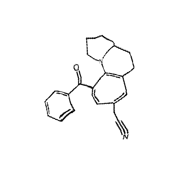 N#Cc1cc2c(c(C(=O)c3ccccc3)c1)N1CCCC1CC2